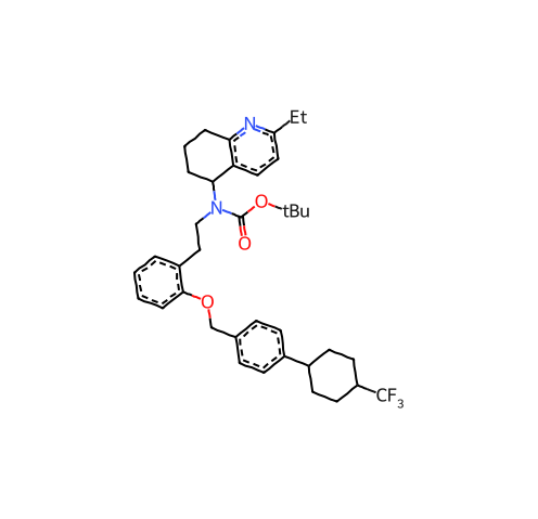 CCc1ccc2c(n1)CCCC2N(CCc1ccccc1OCc1ccc(C2CCC(C(F)(F)F)CC2)cc1)C(=O)OC(C)(C)C